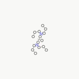 CC(c1ccccc1)(c1ccc(N(c2cccc(-c3cccc(-c4ccccc4)c3)c2)c2cccc(-c3cccc(-c4ccccc4)c3)c2)cc1)c1ccc(N(c2cccc(-c3cccc(-c4ccccc4)c3)c2)c2cccc(-c3cccc(-c4ccccc4)c3)c2)cc1